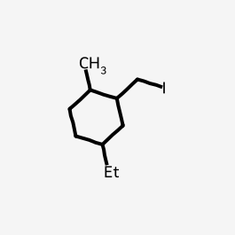 CCC1CCC(C)C(CI)C1